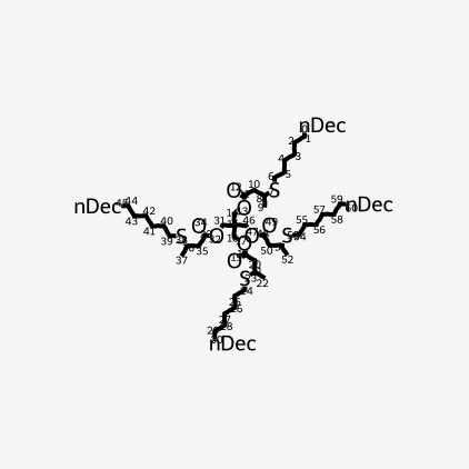 CCCCCCCCCCCCCCCCSC(C)CC(=O)OCC(COC(=O)CC(C)SCCCCCCCCCCCCCCCC)(COC(=O)CC(C)SCCCCCCCCCCCCCCCC)COC(=O)CC(C)SCCCCCCCCCCCCCCCC